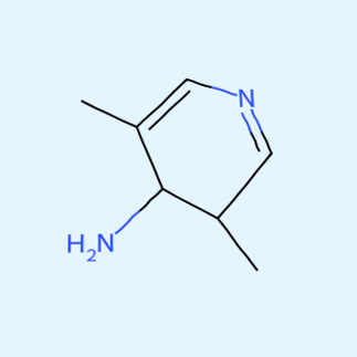 CC1=CN=CC(C)C1N